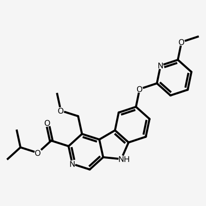 COCc1c(C(=O)OC(C)C)ncc2[nH]c3ccc(Oc4cccc(OC)n4)cc3c12